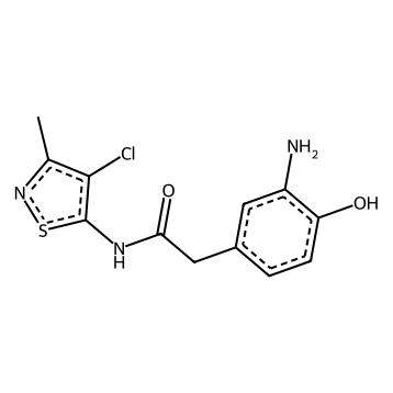 Cc1nsc(NC(=O)Cc2ccc(O)c(N)c2)c1Cl